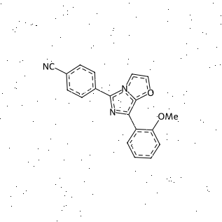 COc1ccccc1-c1nc(-c2ccc(C#N)cc2)n2ccoc12